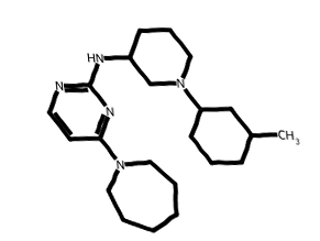 CC1CCCC(N2CCCC(Nc3nccc(N4CCCCCC4)n3)C2)C1